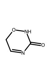 O=C1N=CCON1